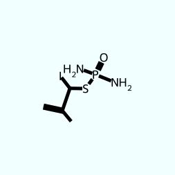 C=C(C)C(I)SP(N)(N)=O